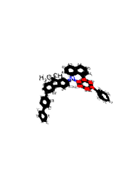 CC1(C)c2ccc(-c3ccc(-c4ccccc4)cc3)cc2-c2ccc(N(c3ccc(C4CC5CCC4C5)cc3)c3cccc4cccc(C5CCCCC5)c34)cc21